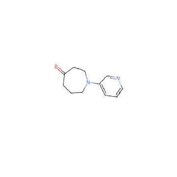 O=C1CCCN(c2cccnc2)CC1